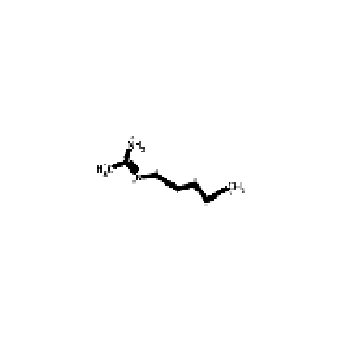 CCCCCN=C(C)N